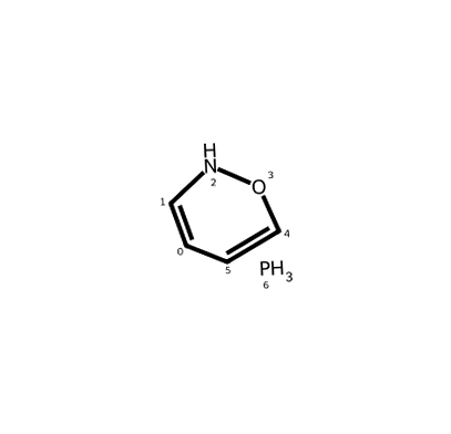 C1=CNOC=C1.P